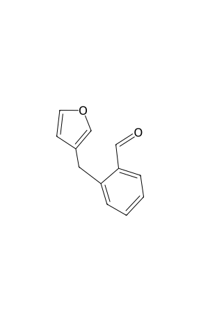 O=Cc1ccccc1Cc1ccoc1